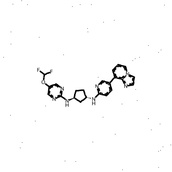 FC(F)Oc1cnc(N[C@H]2CC[C@H](Nc3ccc(-c4cccn5ccnc45)cn3)C2)nc1